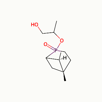 CC(CO)OP1(=O)CC[C@]2(C)CC1[C@H]2C